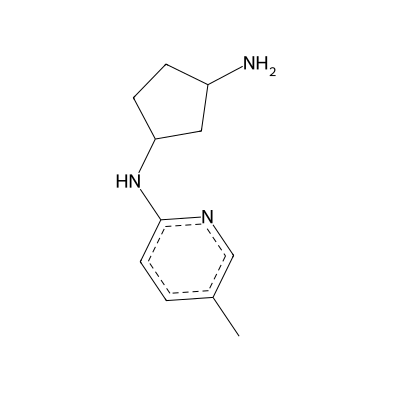 Cc1ccc(NC2CCC(N)C2)nc1